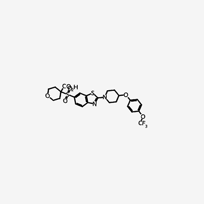 O=C(O)C1(S(=O)(=O)c2ccc3nc(N4CCC(Oc5ccc(OC(F)(F)F)cc5)CC4)sc3c2)CCOCC1